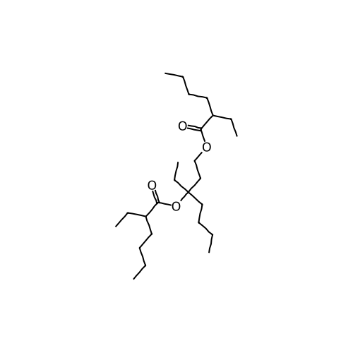 CCCCC(CC)C(=O)OCCC(CC)(CCCC)OC(=O)C(CC)CCCC